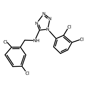 Clc1ccc(Cl)c(CNc2nnnn2-c2cccc(Cl)c2Cl)c1